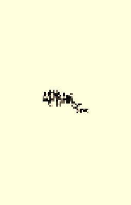 Cc1cc(C(=O)NCc2cccc(OC(=O)c3ccsc3)c2)cc(Cl)c1C(=O)N[C@@H](CNC(=O)c1ccsc1)C(=O)O